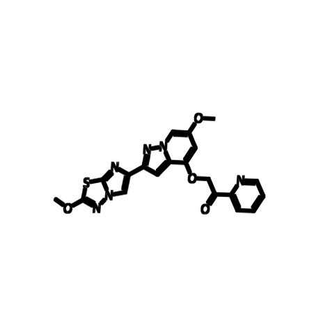 COc1cc(OCC(=O)c2ccccn2)c2cc(-c3cn4nc(OC)sc4n3)nn2c1